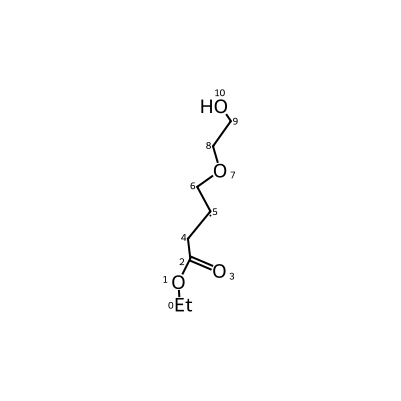 CCOC(=O)C[CH]COCCO